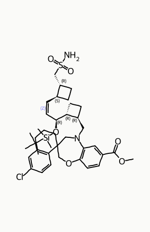 COC(=O)c1ccc2c(c1)N(C[C@@H]1CC[C@H]1[C@H](/C=C\[C@@H]1CC[C@H]1CS(N)(=O)=O)O[Si](C)(C)C(C)(C)C)CC1(CCCc3cc(Cl)ccc31)CO2